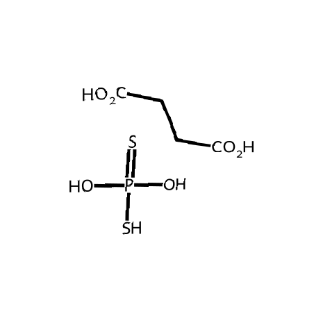 O=C(O)CCC(=O)O.OP(O)(=S)S